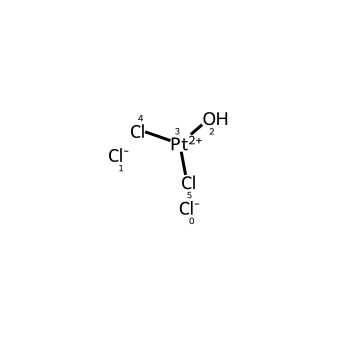 [Cl-].[Cl-].[OH][Pt+2]([Cl])[Cl]